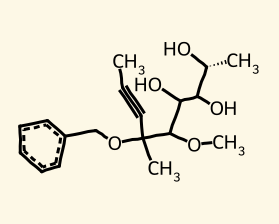 CC#CC(C)(OCc1ccccc1)C(OC)C(O)C(O)[C@@H](C)O